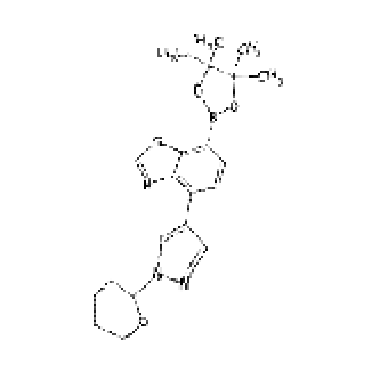 CC1(C)OB(c2ccc(-c3cnn(C4CCCCO4)c3)c3ncsc23)OC1(C)C